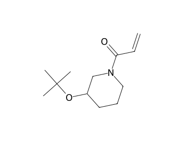 C=CC(=O)N1CCCC(OC(C)(C)C)C1